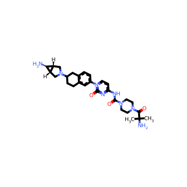 CC(C)(N)C(=O)N1CCN(C(=O)Nc2ccn(-c3ccc4c(c3)CCC(N3C[C@@H]5[C@@H](N)[C@@H]5C3)C4)c(=O)n2)CC1